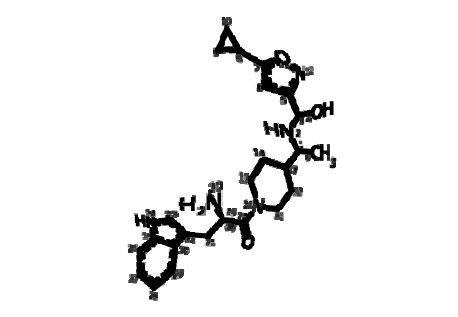 CC(NC(O)c1cc(C2CC2)on1)C1CCN(C(=O)[C@H](N)Cc2c[nH]c3ccccc23)CC1